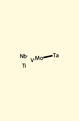 [Mo][Ta].[Nb].[Ti].[V]